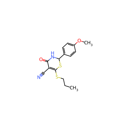 CCCSC1=C(C#N)C(=O)NC(c2ccc(OC)cc2)S1